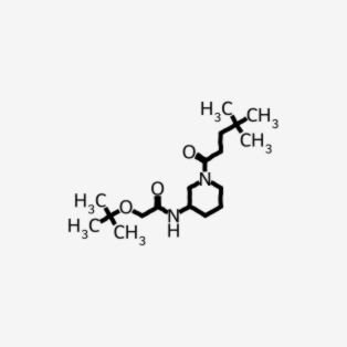 CC(C)(C)CCC(=O)N1CCCC(NC(=O)COC(C)(C)C)C1